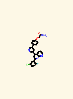 NC(=O)COc1ccc(-c2cncc(-c3cc(-c4cc(Cl)ccc4F)nc4ncccc34)c2)cc1